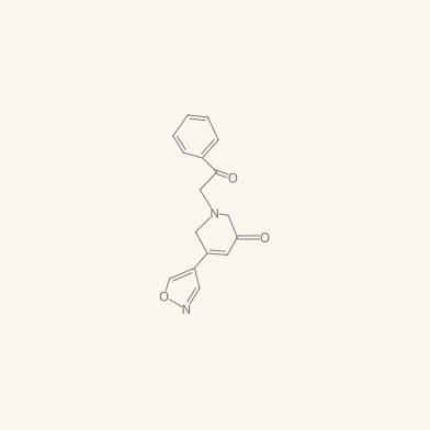 O=C1C=C(c2cnoc2)CN(CC(=O)c2ccccc2)C1